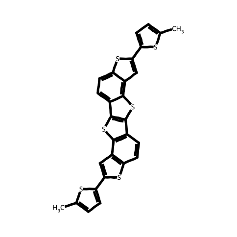 Cc1ccc(-c2cc3c(ccc4c3sc3c5ccc6sc(-c7ccc(C)s7)cc6c5sc43)s2)s1